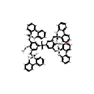 CC(C)(c1cc(CP2(=O)Oc3ccccc3-c3ccccc32)c(O)c(CP2(=O)Oc3ccccc3-c3ccccc32)c1)c1cc(CP2(=O)Oc3ccccc3-c3ccccc32)c(OC#N)c(CP2(=O)Oc3ccccc3-c3ccccc32)c1